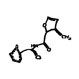 C=C1C=COC1C(=O)NC(=O)c1ccco1